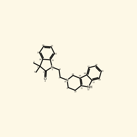 CC1(C)C(=O)N(CCN2CCc3[nH]c4ccccc4c3C2)c2ccccc21